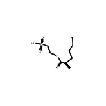 C=C(CCCC)C(=O)OCCS(=O)(=O)O